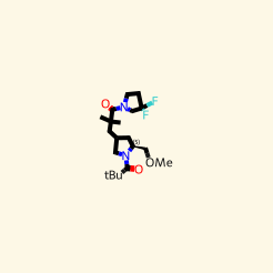 COC[C@@H]1CC(CC(C)(C)C(=O)N2CCC(F)(F)C2)CN1C(=O)C(C)(C)C